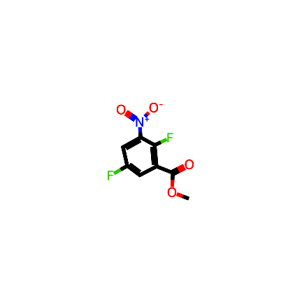 COC(=O)c1cc(F)cc([N+](=O)[O-])c1F